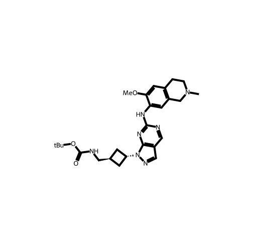 COc1cc2c(cc1Nc1ncc3cnn([C@H]4C[C@H](CNC(=O)OC(C)(C)C)C4)c3n1)CN(C)CC2